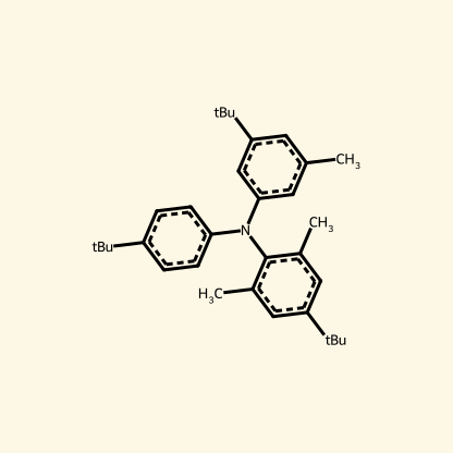 Cc1cc(N(c2ccc(C(C)(C)C)cc2)c2c(C)cc(C(C)(C)C)cc2C)cc(C(C)(C)C)c1